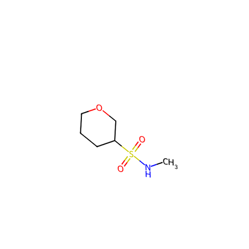 CNS(=O)(=O)C1CCCOC1